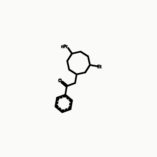 CCCC1CCC(CC)CC(CC(=O)c2ccccc2)CC1